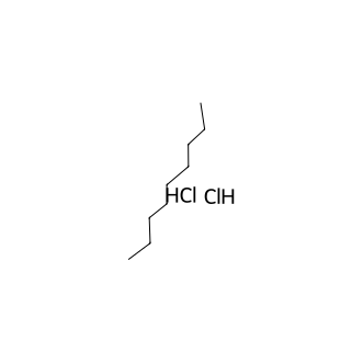 CCCCCCCCC.Cl.Cl